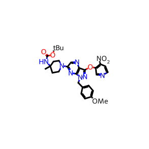 COc1ccc(Cn2nc(Oc3cnccc3[N+](=O)[O-])c3ncc(N4CCC(C)(NC(=O)OC(C)(C)C)CC4)nc32)cc1